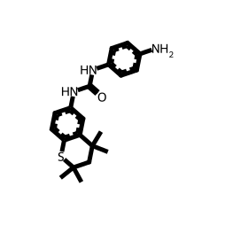 CC1(C)CC(C)(C)c2cc(NC(=O)Nc3ccc(N)cc3)ccc2S1